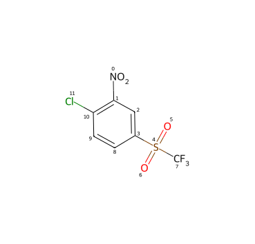 O=[N+]([O-])c1cc(S(=O)(=O)C(F)(F)F)ccc1Cl